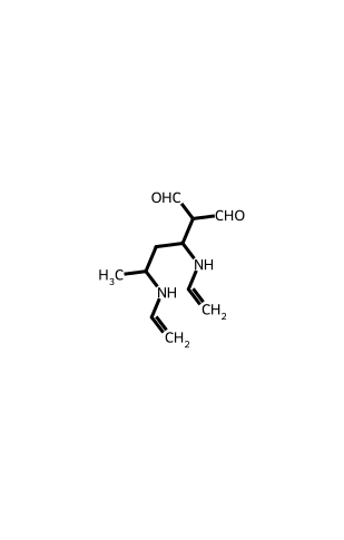 C=CNC(C)CC(NC=C)C(C=O)C=O